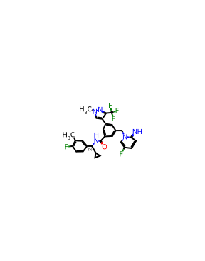 Cc1cc([C@@H](NC(=O)c2cc(Cn3cc(F)ccc3=N)cc(-c3cn(C)nc3C(F)(F)F)c2)C2CC2)ccc1F